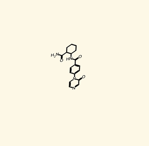 NC(=O)C1CCCCC1NC(=O)c1ccc(-n2ccncc2=O)cc1